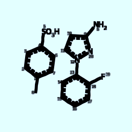 Cc1ccc(S(=O)(=O)O)cc1.Nc1ccn(-c2ccccc2F)n1